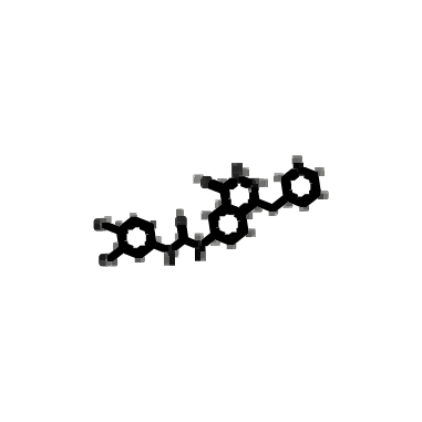 O=C(Nc1ccc(Cl)c(Cl)c1)Nc1ccc2c(Cc3cccnc3)n[nH]c(=O)c2c1